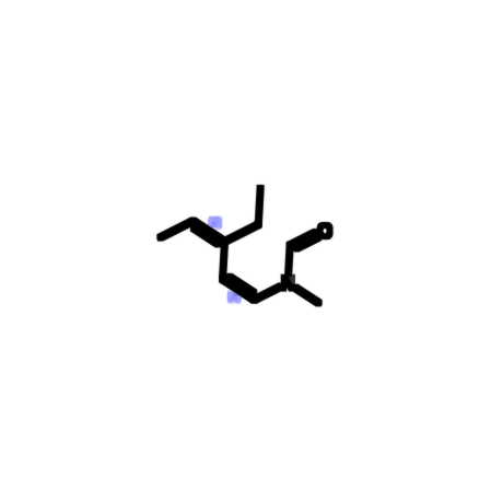 C/C=C(\C=C/N(C)C=O)CC